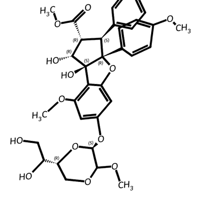 COC(=O)[C@H]1[C@@H](O)[C@@]2(O)c3c(OC)cc(O[C@@H]4O[C@@H](C(O)CO)COC4OC)cc3O[C@@]2(c2ccc(OC)cc2)[C@@H]1c1ccccc1